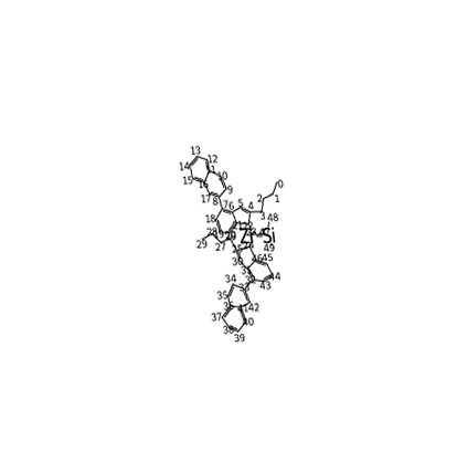 CCCCC1=Cc2c(-c3ccc4ccccc4c3)cccc2[CH]1[Zr]([CH]1C(CCCC)=Cc2c(-c3ccc4ccccc4c3)cccc21)=[Si](C)C